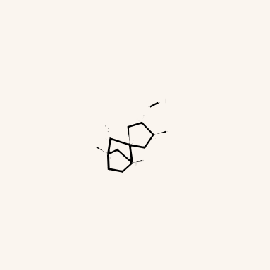 CO[C@H]1C[C@@]2(C[C@@H]1O)[C@@H]1CC[C@@H](C1)[C@@H]2N